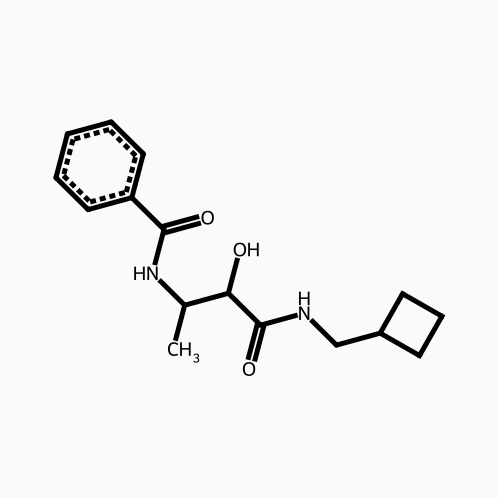 CC(NC(=O)c1ccccc1)C(O)C(=O)NCC1CCC1